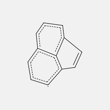 [c]1ccc2cccc3c2c1C=C3